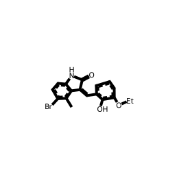 CCOc1cccc(C=C2C(=O)Nc3ccc(Br)c(C)c32)c1O